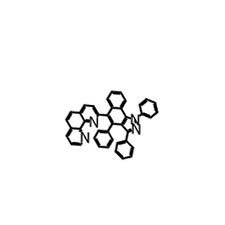 c1ccc(-c2nn(-c3ccccc3)c3c2c(-c2ccccc2)c(-c2ccc4ccc5cccnc5c4n2)c2ccccc23)cc1